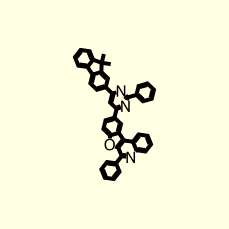 CC1(C)c2ccccc2-c2ccc(-c3cc(-c4ccc5oc6c(-c7ccccc7)nc7ccccc7c6c5c4)nc(-c4ccccc4)n3)cc21